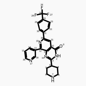 O=c1[nH]c(C2CCNCC2)nc2c(-c3cccnc3)nc(-c3ccc(C(F)(F)F)cc3)cc12